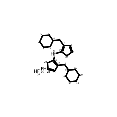 C1=CC(CC2CCCCC2)=[C]([Hf][C]2=C(CC3CCCCC3)C=CC2)C1.F.F